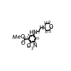 COC(=O)c1cc(NCCN2CCOCC2)ccc1[N+](=O)[O-]